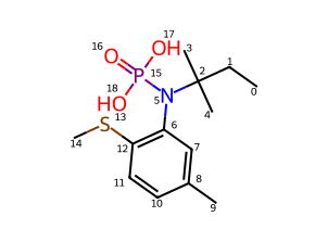 CCC(C)(C)N(c1cc(C)ccc1SC)P(=O)(O)O